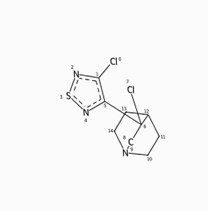 Clc1nsnc1C1(Cl)CN2CCC1CC2